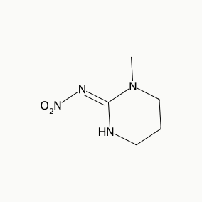 CN1CCCN/C1=N\[N+](=O)[O-]